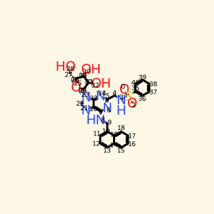 O=S(=O)(NCc1nc(NCc2cccc3ccccc23)c2ncn([C@@H]3O[C@H](CO)[C@@H](O)[C@@H]3O)c2n1)c1ccccc1